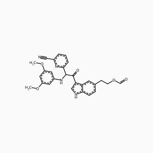 COc1cc(NC(C(=O)c2c[nH]c3ccc(CCOC=O)cc23)c2cccc(C#N)n2)cc(OC)c1